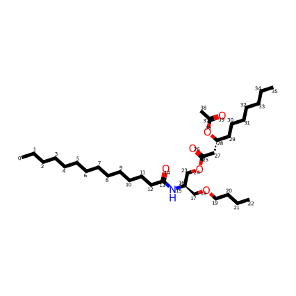 CCCCCCCCCCCCCC(=O)N[C@H](COCCCC)COC(=O)C[C@@H](CCCCCCC)OC(C)=O